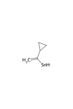 C=[C]([SnH])C1CC1